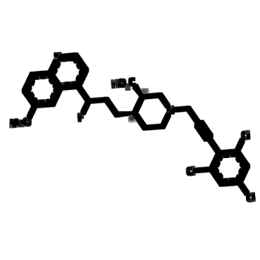 COc1ccc2nccc(C(F)CC[C@@H]3CCN(CC#Cc4c(Cl)cc(Cl)cc4Cl)C[C@@H]3C(=O)O)c2c1